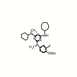 COc1ccc(N(C)c2nc(NC3CCCCCC3)nc(N(C)C3CCCCC3)n2)cc1F